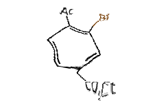 CCOC(=O)c1ccc(C(C)=O)c(Br)c1